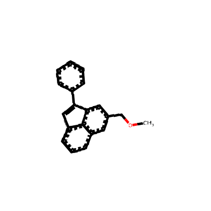 COCc1cc2c3c(cccc3c1)C=C2c1ccccc1